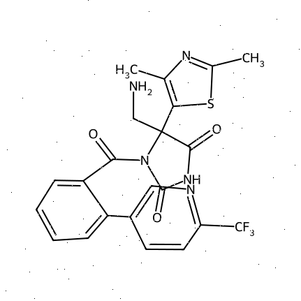 Cc1nc(C)c(C2(CN)C(=O)NC(=O)N2C(=O)c2ccccc2-c2ccc(C(F)(F)F)nc2)s1